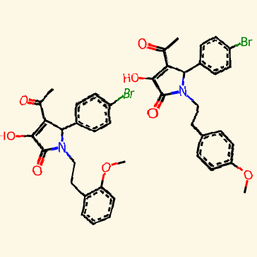 COc1ccc(CCN2C(=O)C(O)=C(C(C)=O)C2c2ccc(Br)cc2)cc1.COc1ccccc1CCN1C(=O)C(O)=C(C(C)=O)C1c1ccc(Br)cc1